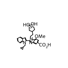 COc1cc(C(=O)O)cc2nc(-c3cc4ccccc4n3CC3CC3)n(CCC3CCS(O)(O)CC3)c12